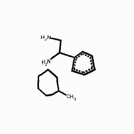 CC1CCCCC1.NCC(N)c1ccccc1